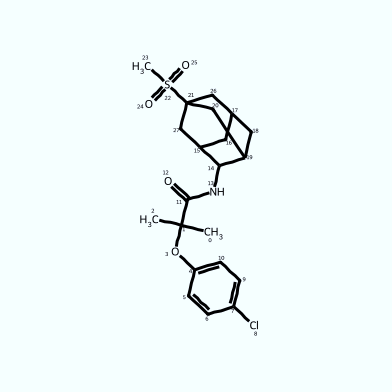 CC(C)(Oc1ccc(Cl)cc1)C(=O)NC1C2CC3CC1CC(S(C)(=O)=O)(C3)C2